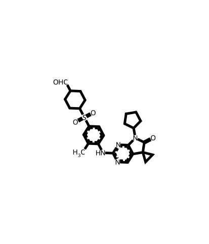 Cc1cc(S(=O)(=O)C2CCC(C=O)CC2)ccc1Nc1ncc2c(n1)N(C1CCCC1)C(=O)C21CC1